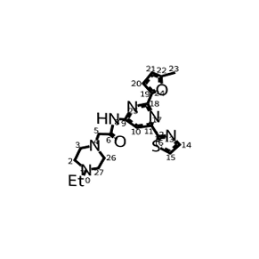 CCN1CCN(CC(=O)Nc2cc(-c3nccs3)nc(-c3ccc(C)o3)n2)CC1